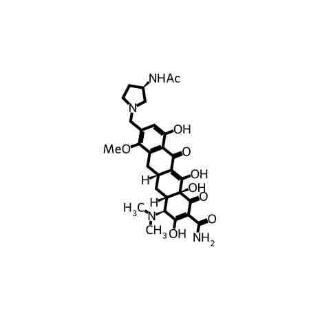 COc1c(CN2CC[C@@H](NC(C)=O)C2)cc(O)c2c1C[C@H]1C[C@H]3[C@H](N(C)C)C(O)=C(C(N)=O)C(=O)[C@@]3(O)C(O)=C1C2=O